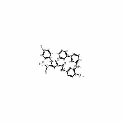 Cc1ccc(NC(=O)c2cc([S+](C)[O-])n(-c3ccc(F)cc3)n2)cc1Nc1nccc(-c2cccnc2)n1